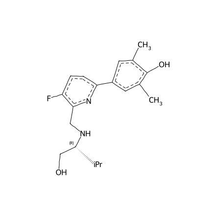 Cc1cc(-c2ccc(F)c(CN[C@@H](CO)C(C)C)n2)cc(C)c1O